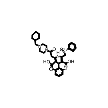 O=C(O)C1=C(CC(=O)N2CCN(CC3CCCCC3)CC2)NC(C[S@+]([O-])c2ccccc2)=C(C(=O)O)C1c1c(Cl)cccc1Cl